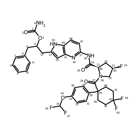 NC(=O)OC(Cc1ccccc1)Cc1cc2nc(NC(=O)[C@H]3C[C@@H](F)CN3C(=O)C3(c4ccc(OC(F)F)cc4)CCC(F)(F)CC3)ccc2[nH]1